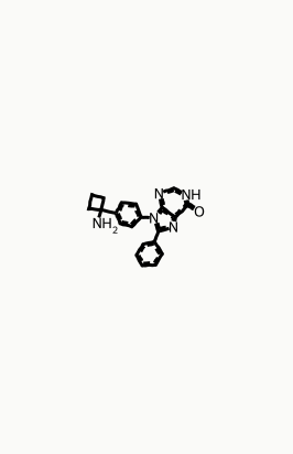 NC1(c2ccc(-n3c(-c4ccccc4)nc4c(=O)[nH]cnc43)cc2)CCC1